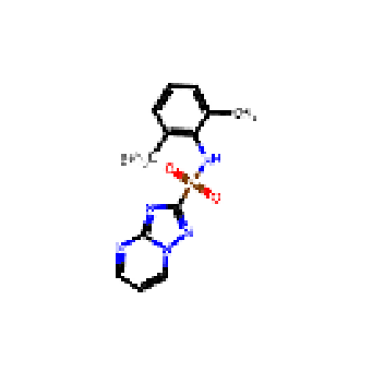 CCOC(=O)c1cccc(C)c1NS(=O)(=O)c1nc2ncccn2n1